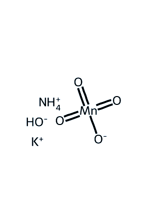 [K+].[NH4+].[OH-].[O]=[Mn](=[O])(=[O])[O-]